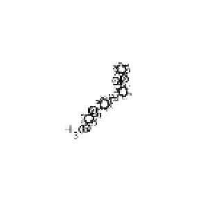 COc1ccc2oc(-c3ccc(C=Cc4cccc(C(=O)Oc5ccccc5)c4)cc3)cc2c1